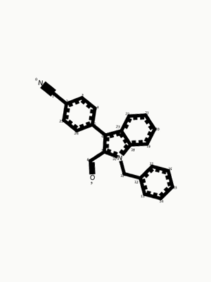 N#Cc1ccc(-c2c(C=O)n(Cc3ccccc3)c3ccccc23)cc1